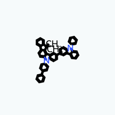 CC1(C)c2ccccc2-c2ccc3c(c21)c1cc(-c2ccc4c(c2)c2ccccc2n4-c2ccccc2)ccc1n3-c1ccc(-c2ccccc2)cc1